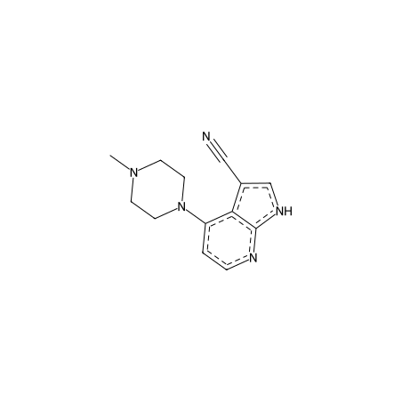 CN1CCN(c2ccnc3[nH]cc(C#N)c23)CC1